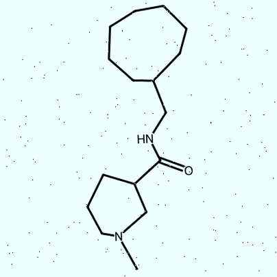 CN1CCCC(C(=O)NCC2CCCCCCC2)C1